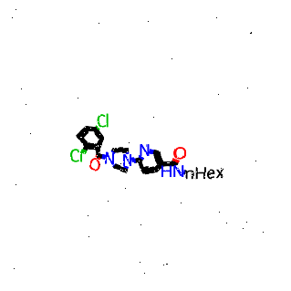 CCCCCCNC(=O)c1ccc(N2CCN(C(=O)c3cc(Cl)ccc3Cl)CC2)nc1